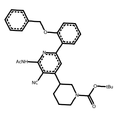 CC(=O)Nc1nc(-c2ccccc2OCc2ccccc2)cc(C2CCCN(C(=O)OC(C)(C)C)C2)c1C#N